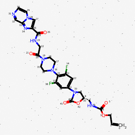 C=CCOC(=O)NC[C@H]1CN(c2cc(F)c(N3CCN(C(=O)CNC(=O)c4cn5ccncc5n4)CC3)c(F)c2)C(=O)O1